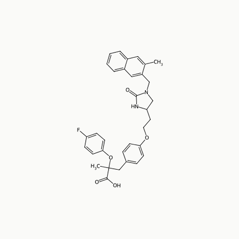 Cc1cc2ccccc2cc1CN1CC(CCOc2ccc(CC(C)(Oc3ccc(F)cc3)C(=O)O)cc2)NC1=O